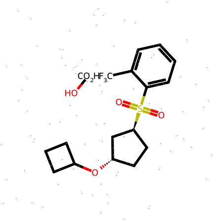 O=C(O)O.O=S(=O)(c1ccccc1C(F)(F)F)[C@H]1CC[C@H](OC2CCC2)C1